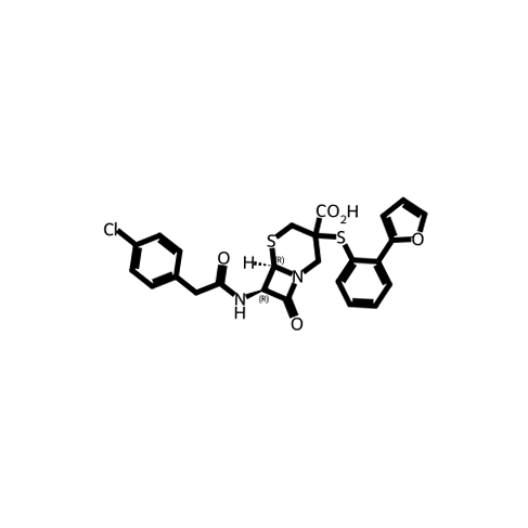 O=C(Cc1ccc(Cl)cc1)N[C@@H]1C(=O)N2CC(Sc3ccccc3-c3ccco3)(C(=O)O)CS[C@H]12